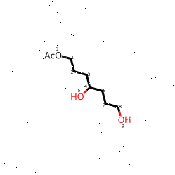 CC(=O)OCCCC(O)CCCO